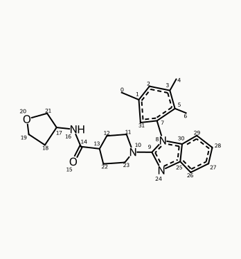 Cc1cc(C)c(C)c(-n2c(N3CCC(C(=O)NC4CCOC4)CC3)nc3ccccc32)c1